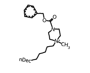 CCCCCCCCCCCCCCC[N+]1(C)CCN(C(=O)OCc2ccccc2)CC1